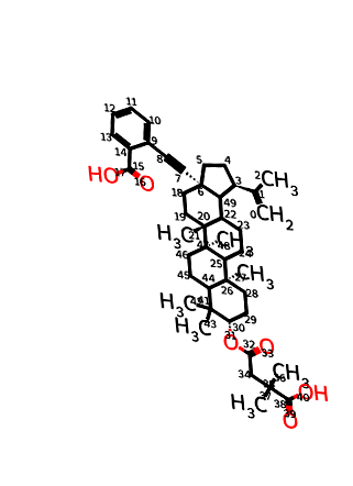 C=C(C)[C@@H]1CC[C@]2(C#Cc3ccccc3C(=O)O)CC[C@]3(C)C(CCC4[C@@]5(C)CC[C@H](OC(=O)CC(C)(C)C(=O)O)C(C)(C)C5CC[C@]43C)C12